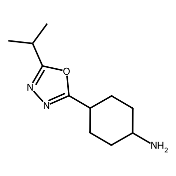 CC(C)c1nnc(C2CCC(N)CC2)o1